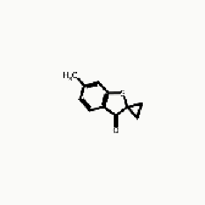 Cc1ccc2c(c1)SC1(CC1)C2=O